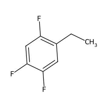 CCc1cc(F)c(F)cc1F